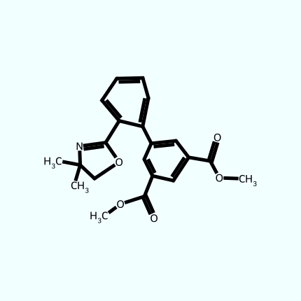 COC(=O)c1cc(C(=O)OC)cc(-c2ccccc2C2=NC(C)(C)CO2)c1